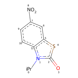 CC(C)n1c(=O)sc2cc([N+](=O)[O-])ccc21